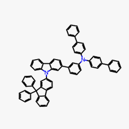 c1ccc(-c2ccc(N(c3ccc(-c4ccccc4)cc3)c3cccc(-c4ccc5c6ccccc6n(-c6ccc7c(c6)C(c6ccccc6)(c6ccccc6)c6ccccc6-7)c5c4)c3)cc2)cc1